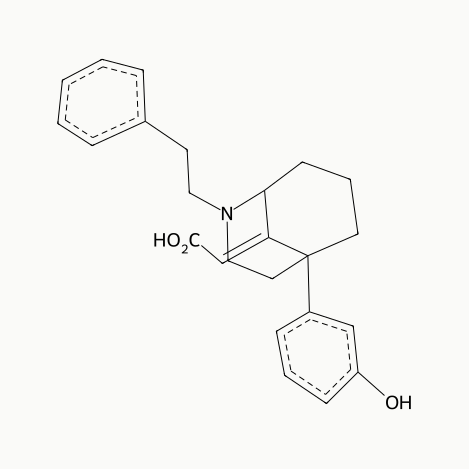 O=C(O)C=C1C2CCCC1(c1cccc(O)c1)CCN2CCc1ccccc1